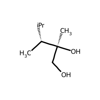 CC(C)[C@@H](C)[C@@](C)(O)CO